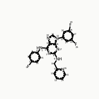 Fc1ccc(Nc2nc(NCc3ccccn3)nc3c2ncn3-c2cc(F)cc(F)c2)cc1